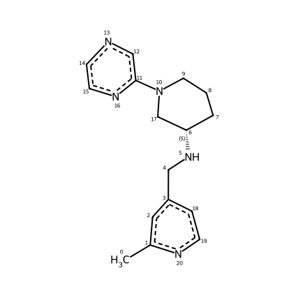 Cc1cc(CN[C@H]2CCCN(c3cnccn3)C2)ccn1